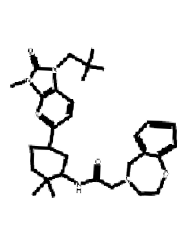 Cn1c(=O)n(CC(C)(C)C)c2ccc(C3CCC(C)(C)C(NC(=O)CN4CCOc5ccccc5C4)C3)nc21